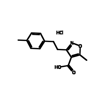 Cc1ccc(CCc2noc(C)c2C(=O)O)cc1.Cl